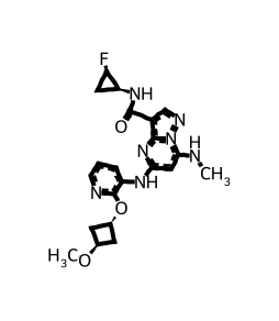 CNc1cc(Nc2cccnc2O[C@H]2C[C@H](OC)C2)nc2c(C(=O)N[C@H]3C[C@H]3F)cnn12